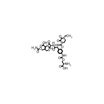 CCN1CCN(C(=O)N[C@@H](C(=O)N[C@@H]2C(=O)N3C(C(=O)O)=C(COC(N)=O)CS[C@@H]23)c2ccc(NC(=O)OC[C@@H](N)C(=O)O)cc2)C(=O)C1=O